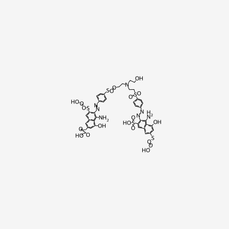 Nc1c(N=Nc2ccc(SOOCCN(CCO)CCS(=O)(=O)c3ccc(N=Nc4c(S(=O)(=O)O)cc5cc(SOOO)cc(O)c5c4N)cc3)cc2)c(SOOO)cc2cc(S(=O)(=O)O)cc(O)c12